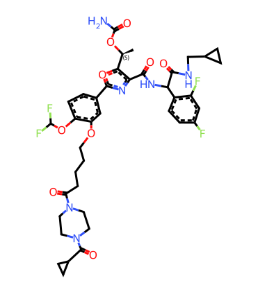 C[C@H](OC(N)=O)c1oc(-c2ccc(OC(F)F)c(OCCCCC(=O)N3CCN(C(=O)C4CC4)CC3)c2)nc1C(=O)NC(C(=O)NCC1CC1)c1ccc(F)cc1F